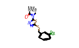 CNC(=O)N(C)c1nnc(SCc2cccc(Br)c2)s1